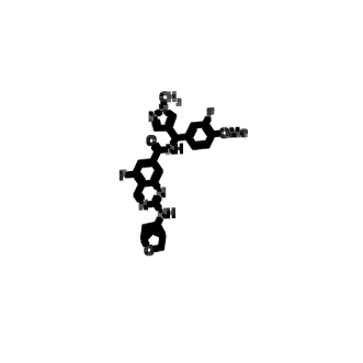 COc1ccc(C(NC(=O)c2cc(F)c3cnc(NC4CC5CC4CO5)nc3c2)c2cnn(C)c2)cc1F